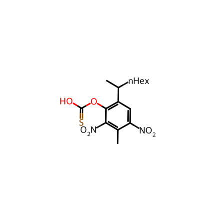 CCCCCCC(C)c1cc([N+](=O)[O-])c(C)c([N+](=O)[O-])c1OC(O)=S